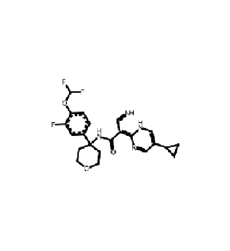 N=C/C(C(=O)NC1(c2ccc(OC(F)F)c(F)c2)CCOCC1)=C1/N=CC(C2CC2)=CN1